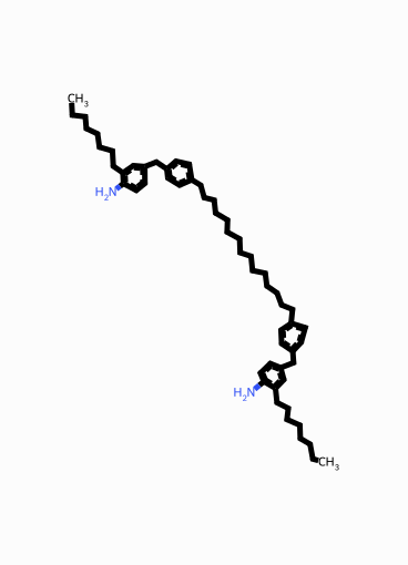 CCCCCCCCc1cc(Cc2ccc(CCCCCCCCCCCCCCCc3ccc(Cc4ccc(N)c(CCCCCCCC)c4)cc3)cc2)ccc1N